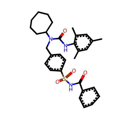 Cc1cc(C)c(NC(=O)N(Cc2ccc(S(=O)(=O)NC(=O)c3ccccc3)cc2)C2CCCCCC2)c(C)c1